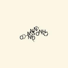 CCOc1nc(C2CCOCC2)nc2nc(N3CCC[C@@H]3C(=O)NCc3ccccc3)sc12